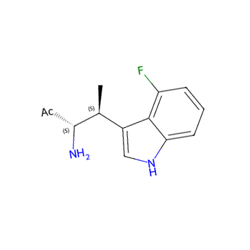 CC(=O)[C@@H](N)[C@@H](C)c1c[nH]c2cccc(F)c12